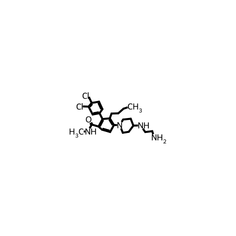 CCCCc1c(N2CCC(NCCN)CC2)ccc(C(=O)NC)c1-c1ccc(Cl)c(Cl)c1